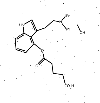 CC(C)N(CCc1c[nH]c2cccc(OC(=O)CCCC(=O)O)c12)C(C)C.CO